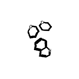 C1CCOCC1.C1CCOCC1.c1ccc2ncccc2c1